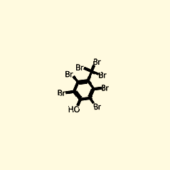 Oc1c(Br)c(Br)c(C(Br)(Br)Br)c(Br)c1Br